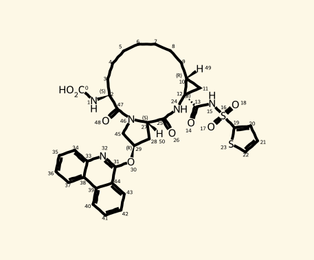 O=C(O)N[C@H]1CCCCCCC[C@@H]2C[C@@]2(C(=O)NS(=O)(=O)c2cccs2)NC(=O)[C@@H]2C[C@@H](Oc3nc4ccccc4c4ccccc34)CN2C1=O